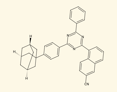 N#Cc1ccc2c(-c3nc(-c4ccccc4)nc(-c4ccc(C56C[C@H]7C[C@H](C5)C[C@@H](C6)C7)cc4)n3)cccc2c1